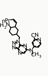 CCC/C=C\C1CC(Cn2nnc3ncc(N(C)c4ccnc(C#N)c4)nc32)CCC1N